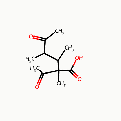 CC(=O)C(C)C(C)C(C)(C(C)=O)C(=O)O